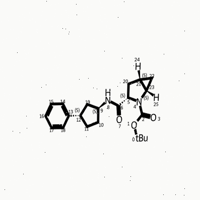 CC(C)(C)OC(=O)N1[C@H](C(=O)N[C@H]2CC[C@H](c3ccccc3)C2)C[C@@H]2C[C@@H]21